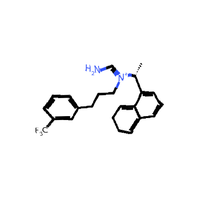 C[C@H](c1cccc2c1=CCCC=2)/[N+](=C/N)CCCc1cccc(C(F)(F)F)c1